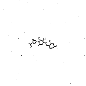 CC(=O)n1cc(-n2c(C)cc(OCc3ccc(F)cc3F)c(Cl)c2=O)cn1